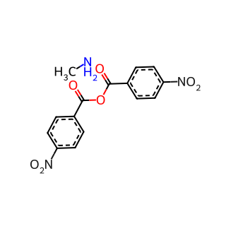 CN.O=C(OC(=O)c1ccc([N+](=O)[O-])cc1)c1ccc([N+](=O)[O-])cc1